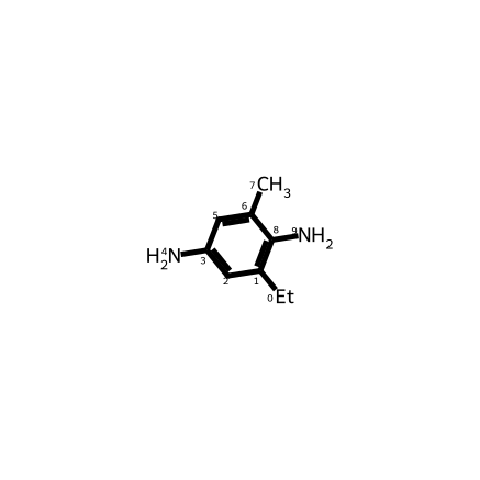 CCc1cc(N)cc(C)c1N